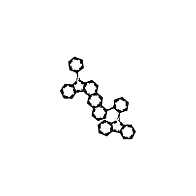 c1ccc(-n2c3ccccc3c3c4cc5cccc(-c6ccccc6-n6c7ccccc7c7ccccc76)c5cc4ccc32)cc1